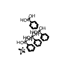 C[N+](C)(C)C.OB(O)c1ccccc1.OB(O)c1ccccc1.OB(O)c1ccccc1.OB(O)c1ccccc1